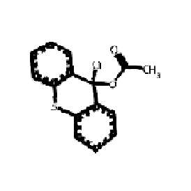 CC(=O)OC1(Cl)c2ccccc2Sc2ccccc21